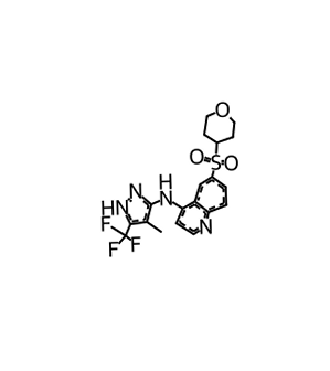 Cc1c(Nc2ccnc3ccc(S(=O)(=O)C4CCOCC4)cc23)n[nH]c1C(F)(F)F